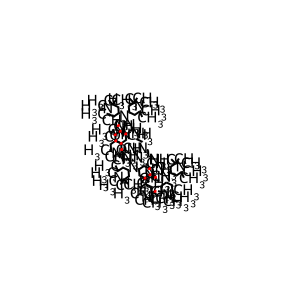 CN1C(C)(C)CC(Oc2nc(NCCN(CCNc3nc(OC4CC(C)(C)N(C)C(C)(C)C4)nc(N(C4CC(C)(C)N(C)C(C)(C)C4)C4CC(C)(C)N(C)C(C)(C)C4)n3)c3nc(OC4CC(C)(C)N(C)C(C)(C)C4)nc(N(C4CC(C)(C)N(C)C(C)(C)C4)C4CC(C)(C)N(C)C(C)(C)C4)n3)nc(N(C3CC(C)(C)N(C)C(C)(C)C3)C3CC(C)(C)N(C)C(C)(C)C3)n2)CC1(C)C